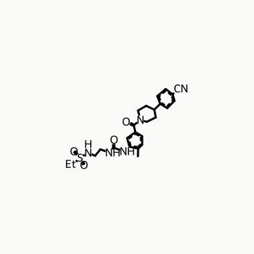 CCS(=O)(=O)NCCNC(=O)Nc1cc(C(=O)N2CCC(c3ccc(C#N)cc3)CC2)ccc1C